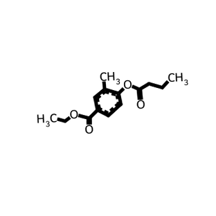 CCCC(=O)Oc1ccc(C(=O)OCC)cc1C